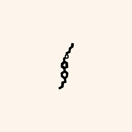 C=CCCCOCc1ccc(C2CCC(CC=CC)CC2)cc1